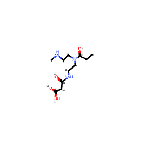 CCC(=O)N(CCNC)CCNC(=O)CC(=O)O